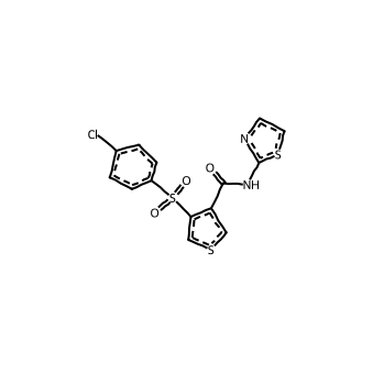 O=C(Nc1nccs1)c1cscc1S(=O)(=O)c1ccc(Cl)cc1